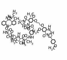 COc1ccc(C2=CN3C(=O)c4cc(OC)c(OCCCOc5cc6c(cc5OC)C(=O)N5CC7(CC7)C[C@H]5C(O)N6C(=O)OCc5ccc(NC(=O)[C@H](C)NC(=O)[C@@H](NC(=O)CNC(=O)C(C)NC(=O)ON6Cc7ccccc7-c7c(nnn7C(C)C)-c7ccccc76)C(C)C)cc5)cc4NC[C@@H]3C2)cc1